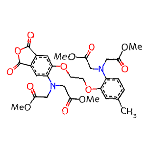 COC(=O)CN(CC(=O)OC)c1ccc(C)cc1OCCOc1cc2c(cc1N(CC(=O)OC)CC(=O)OC)C(=O)OC2=O